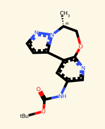 C[C@@H]1COc2ncc(NC(=O)OC(C)(C)C)cc2-c2ccnn21